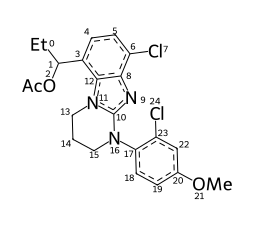 CCC(OC(C)=O)c1ccc(Cl)c2nc3n(c12)CCCN3c1ccc(OC)cc1Cl